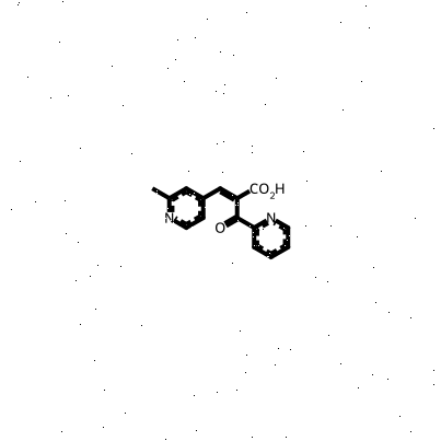 Cc1cc(/C=C(/C(=O)O)C(=O)c2ccccn2)ccn1